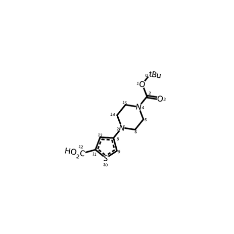 CC(C)(C)OC(=O)N1CCN(c2csc(C(=O)O)c2)CC1